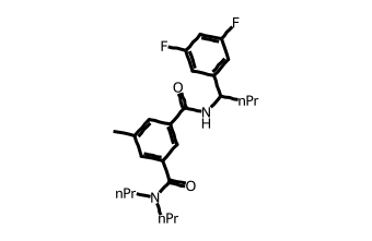 CCCC(NC(=O)c1cc(C)cc(C(=O)N(CCC)CCC)c1)c1cc(F)cc(F)c1